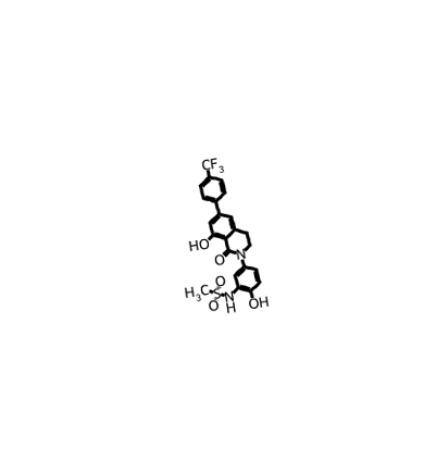 CS(=O)(=O)Nc1cc(N2CCc3cc(-c4ccc(C(F)(F)F)cc4)cc(O)c3C2=O)ccc1O